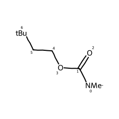 C[N]C(=O)OCCC(C)(C)C